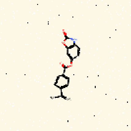 C=C(C)c1ccc(C(=O)Oc2ccc3[nH]c(=O)oc3c2)cc1